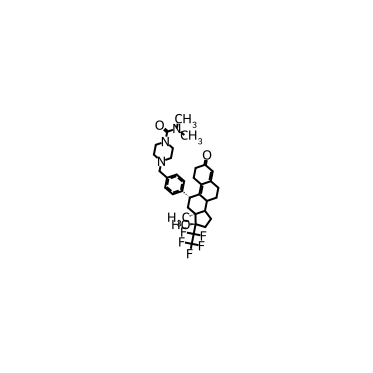 CN(C)C(=O)N1CCN(Cc2ccc([C@H]3C[C@@]4(C)C(CC[C@]4(O)C(F)(F)C(F)(F)F)C4CCC5=CC(=O)CCC5=C43)cc2)CC1